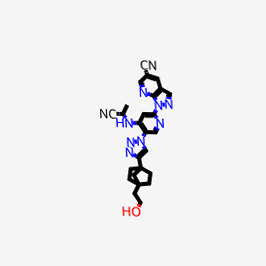 CC(C#N)Nc1cc(-n2ncc3cc(C#N)cnc32)ncc1-n1cc(C23CCC(CCO)(CC2)C3)nn1